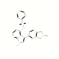 CN1Cc2ccc(-c3cn(C)c4nccc(NS(=O)(=O)c5ccccc5)c34)cc2C1